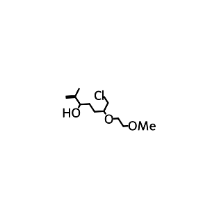 C=C(C)C(O)CCC(CCl)OCCOC